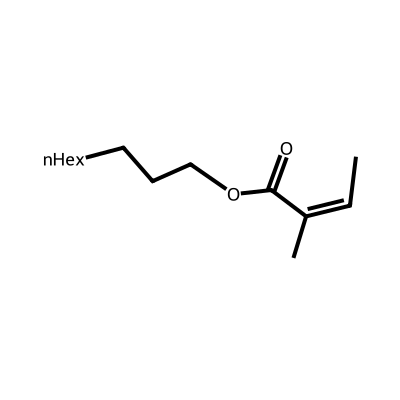 C/C=C(/C)C(=O)OCCCCCCCCC